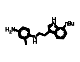 CCCCc1cccc2c(CCNc3ccc(N)cc3C)c[nH]c12